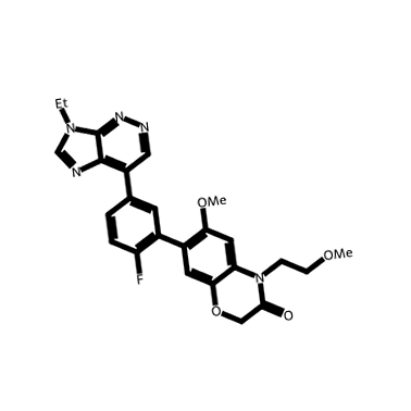 CCn1cnc2c(-c3ccc(F)c(-c4cc5c(cc4OC)N(CCOC)C(=O)CO5)c3)cnnc21